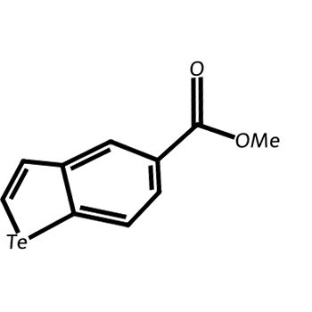 COC(=O)c1ccc2[te]ccc2c1